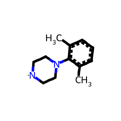 Cc1cccc(C)c1N1CC[N]CC1